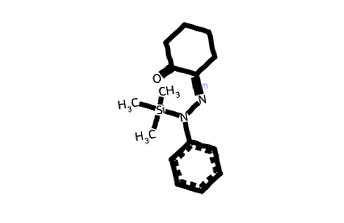 C[Si](C)(C)N(/N=C1/CCCCC1=O)c1ccccc1